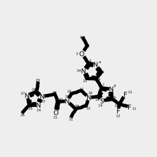 CCOc1ncc(-c2nc(C(F)(F)F)sc2N2CCN(C(=O)Cn3nc(C)nc3C)C(C)C2)cn1